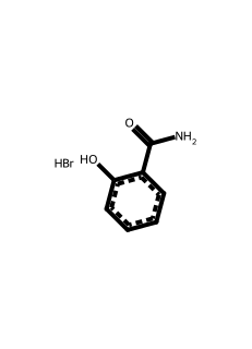 Br.NC(=O)c1ccccc1O